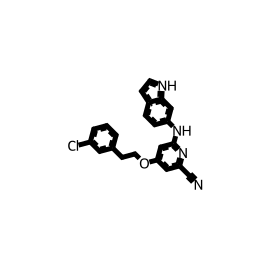 N#Cc1cc(OCCc2cccc(Cl)c2)cc(Nc2ccc3cc[nH]c3c2)n1